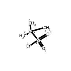 CCS(=O)(=O)[Si](C)(C)C